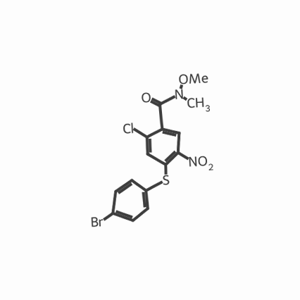 CON(C)C(=O)c1cc([N+](=O)[O-])c(Sc2ccc(Br)cc2)cc1Cl